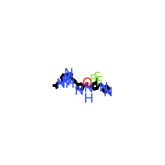 CC(C)CNc1ccc2ncc(C#Cc3cncc(C(=O)Nc4ccc(CN5CCN(C)CC5)c(C(F)(F)F)c4)c3)n2n1